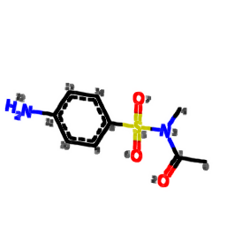 CC(=O)N(C)S(=O)(=O)c1ccc(N)cc1